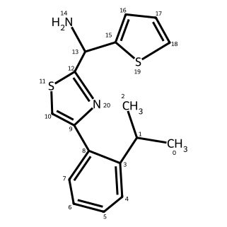 CC(C)c1ccccc1-c1csc(C(N)c2cccs2)n1